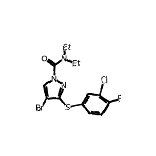 CCN(CC)C(=O)n1cc(Br)c(Sc2ccc(F)c(Cl)c2)n1